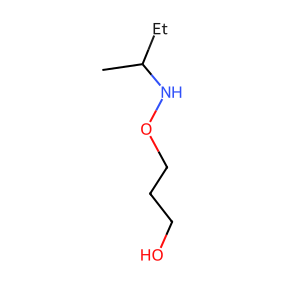 CCC(C)NOCCCO